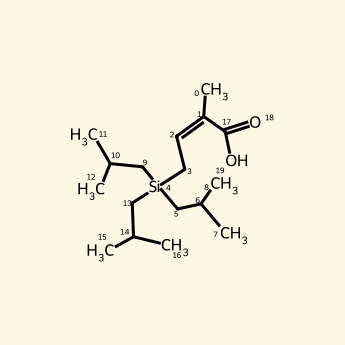 CC(=CC[Si](CC(C)C)(CC(C)C)CC(C)C)C(=O)O